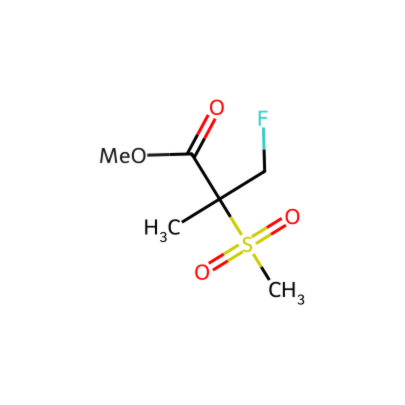 COC(=O)C(C)(CF)S(C)(=O)=O